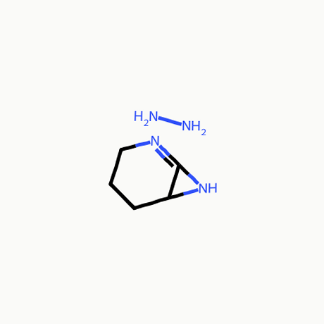 C1CN=C2NC2C1.NN